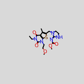 CCn1c(=O)c2c(C)c(CN3CCNC3=NC(=O)OC)sc2n(CCOC)c1=O